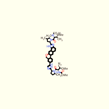 COC(=O)N[C@H](C(=O)N1C(c2ncc(-c3ccc4c(c3)COc3cc5c(ccc6nc(C7CC(C)CN7C(=O)[C@H]([C@@H](C)OC)N(C)C(=O)O)[nH]c65)cc3-4)[nH]2)CC[C@@H]1C)[C@@H](C)OC